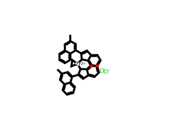 Cc1cc(C2=Cc3ccccc3[CH]2[Zr+2]2([CH]3C(c4cc(C)cc5ccccc45)=Cc4ccccc43)[CH2][CH2]2)c2ccccc2c1.[Cl-].[Cl-]